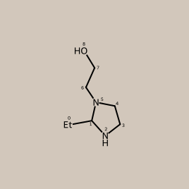 CCC1NCCN1CCO